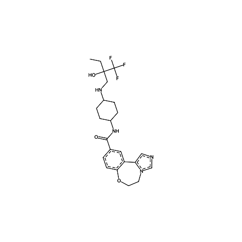 CCC(O)(CNC1CCC(NC(=O)c2ccc3c(c2)-c2cncn2CCO3)CC1)C(F)(F)F